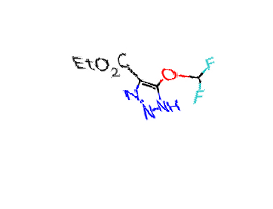 CCOC(=O)c1nn[nH]c1OC(F)F